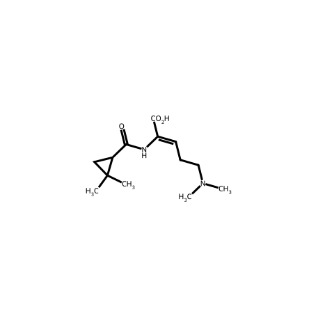 CN(C)CC/C=C(\NC(=O)C1CC1(C)C)C(=O)O